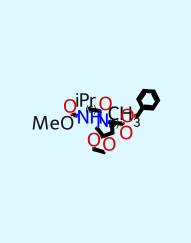 COC(=O)N[C@H](C(=O)N1CC2(C[C@@]1(C)C(=O)OCc1ccccc1)OCCO2)C(C)C